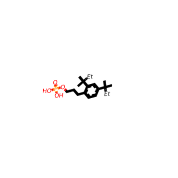 CCC(C)(C)c1ccc(CCCOP(=O)(O)O)c(C(C)(C)CC)c1